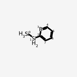 [SiH3][SiH2]c1bcccc1